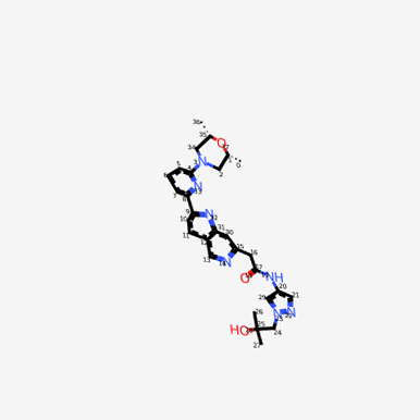 C[C@@H]1CN(c2cccc(-c3ccc4cnc(CC(=O)Nc5cnn(CC(C)(C)O)c5)cc4n3)n2)C[C@H](C)O1